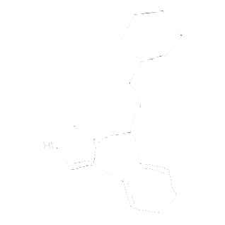 C1=C2c3ccccc3C(CCC3CCCCC3)N2CN1